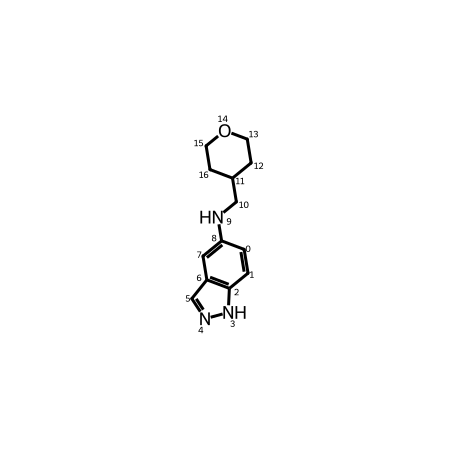 c1cc2[nH]ncc2cc1NCC1CCOCC1